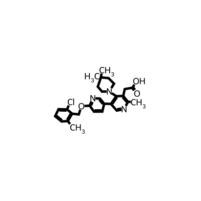 Cc1cccc(Cl)c1COc1ccc(-c2cnc(C)c(CC(=O)O)c2N2CCC(C)(C)CC2)cn1